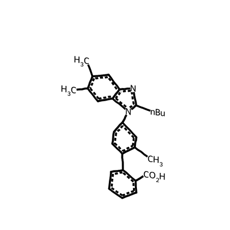 CCCCc1nc2cc(C)c(C)cc2n1-c1ccc(-c2ccccc2C(=O)O)c(C)c1